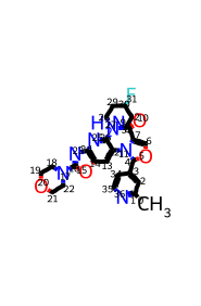 Cc1cc(C2OC=C(C(N)=O)N2c2cc3oc(N4CCOCC4)nc3nc2N2CCC(F)CC2)ccn1